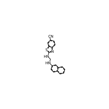 N#Cc1ccc2nc(NCNc3ccc4ccccc4c3)sc2c1